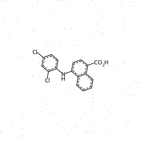 O=C(O)c1ccc(Nc2ccc(Cl)cc2Cl)c2ccccc12